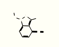 CON1NC(C)=c2c1cccc2=C=O